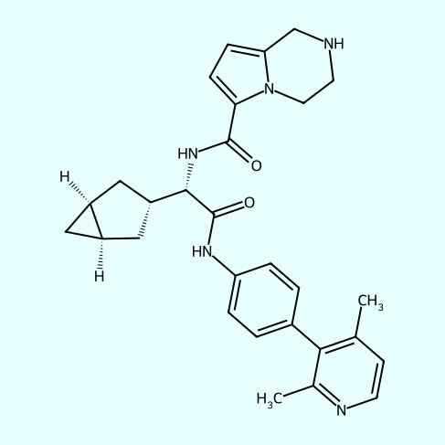 Cc1ccnc(C)c1-c1ccc(NC(=O)[C@@H](NC(=O)c2ccc3n2CCNC3)[C@@H]2C[C@H]3C[C@H]3C2)cc1